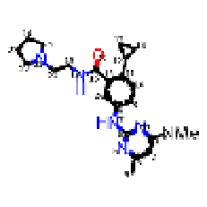 CNc1cc(C)nc(Nc2ccc(C3CC3)c(C(=O)NCCN3CCCC3)c2)n1